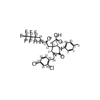 Cc1ccc(N2CC(CC(=O)O)(CC(=O)NCC(F)(F)C(F)(F)C(F)(F)F)CN(Cc3ccc(Cl)cc3Cl)C2=O)cc1